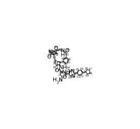 Cc1cc2cc(c1NC(=O)[C@H](CCN)NC(=O)c1cnc(-c3ccc(C4CCCC4)cc3)nc1C)-c1cccc(c1)CC(=O)NCC(=O)NC(C(N)=O)C2